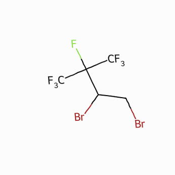 FC(F)(F)C(F)(C(Br)CBr)C(F)(F)F